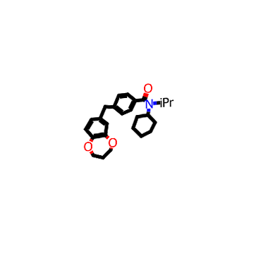 CC(C)N(C(=O)c1ccc(Cc2ccc3c(c2)OCCCO3)cc1)C1CCCCC1